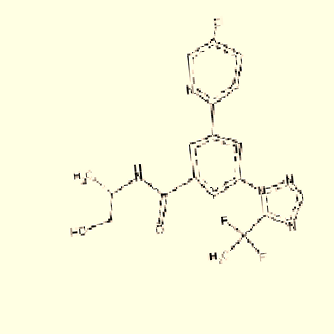 C[C@@H](CO)NC(=O)c1cc(-c2ccc(Cl)cn2)cc(-n2ncnc2C(C)(F)F)c1